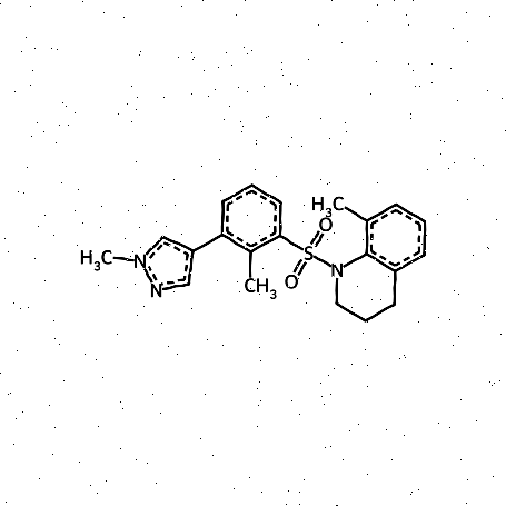 Cc1cccc2c1N(S(=O)(=O)c1cccc(-c3cnn(C)c3)c1C)CCC2